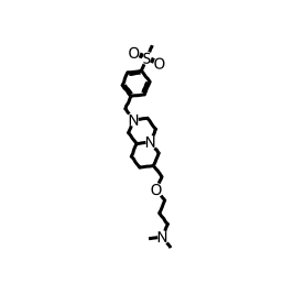 CN(C)CCCOCC1CCC2CN(Cc3ccc(S(C)(=O)=O)cc3)CCN2C1